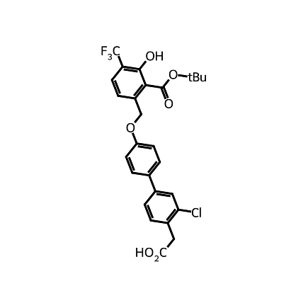 CC(C)(C)OC(=O)c1c(COc2ccc(-c3ccc(CC(=O)O)c(Cl)c3)cc2)ccc(C(F)(F)F)c1O